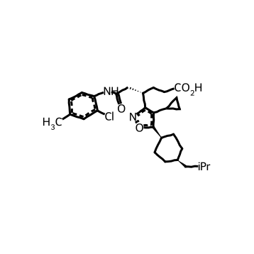 Cc1ccc(NC(=O)C[C@H](CCC(=O)O)c2noc([C@H]3CC[C@@H](CC(C)C)CC3)c2C2CC2)c(Cl)c1